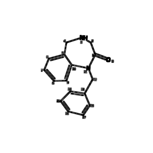 O=C1CNCc2ccccc2N1Cc1ccccc1